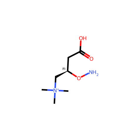 C[N+](C)(C)C[C@@H](CC(=O)O)ON